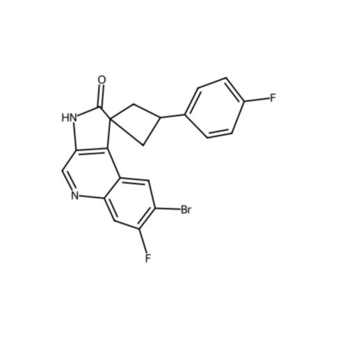 O=C1Nc2cnc3cc(F)c(Br)cc3c2C12CC(c1ccc(F)cc1)C2